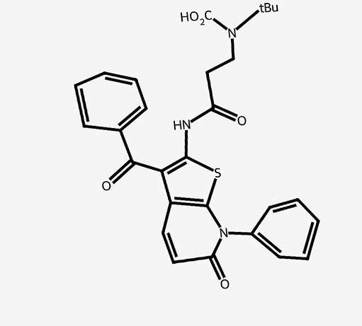 CC(C)(C)N(CCC(=O)Nc1sc2c(ccc(=O)n2-c2ccccc2)c1C(=O)c1ccccc1)C(=O)O